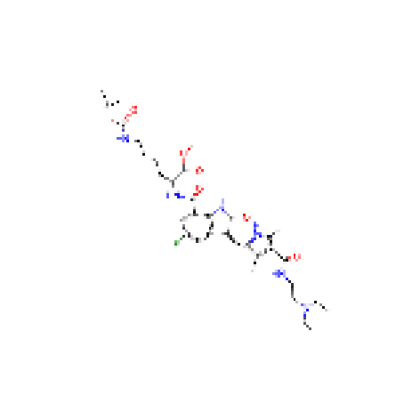 CCN(CC)CCNC(=O)c1c(C)[nH]c(/C=C2\C(=O)Nc3c(C(=O)N[C@@H](CCCCNC(=O)OC(C)(C)C)C(=O)OC)cc(F)cc32)c1C